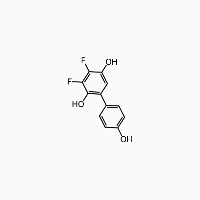 Oc1ccc(-c2cc(O)c(F)c(F)c2O)cc1